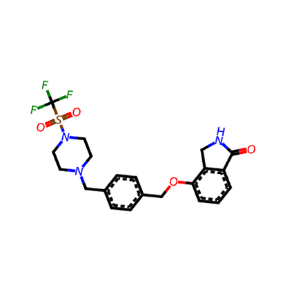 O=C1NCc2c(OCc3ccc(CN4CCN(S(=O)(=O)C(F)(F)F)CC4)cc3)cccc21